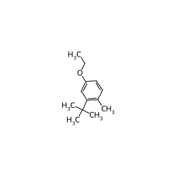 CCOc1ccc(C)c(C(C)(C)C)c1